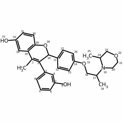 CC1=C(c2cccc(O)c2)C(c2ccc(OCC(C)N3CCOCC3C)cc2)Oc2ccc(O)cc21